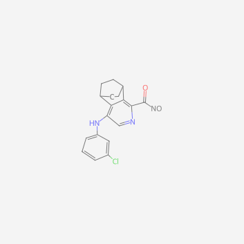 O=NC(=O)c1ncc(Nc2cccc(Cl)c2)c2c1C1CCC2CC1